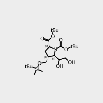 CC(C)(C)OC(=O)[C@H]1C[C@@H](CO[Si](C)(C)C(C)(C)C)[C@H](C(O)CO)N1C(=O)OC(C)(C)C